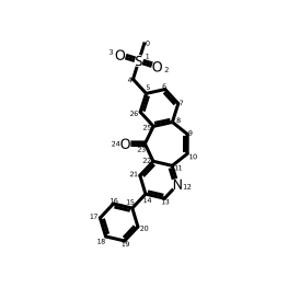 CS(=O)(=O)Cc1ccc2ccc3ncc(-c4ccccc4)cc3c(=O)c2c1